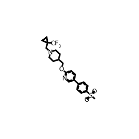 CS(=O)(=O)c1ccc(-c2ccc(OCC3CCN(CC4(C(F)(F)F)CC4)CC3)nc2)cc1